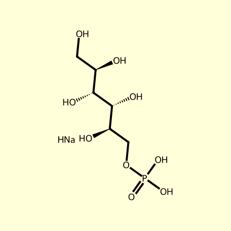 O=P(O)(O)OC[C@@H](O)[C@@H](O)[C@H](O)[C@H](O)CO.[NaH]